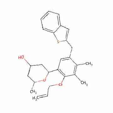 C=CCOc1c(C2CC(O)CC(C)O2)cc(Cc2cc3ccccc3s2)c(C)c1C